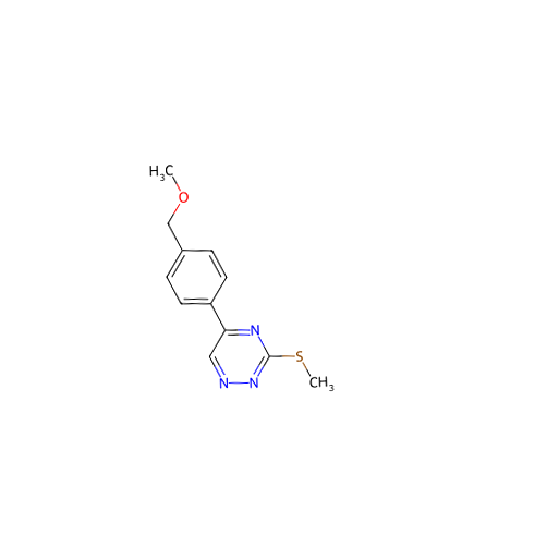 COCc1ccc(-c2cnnc(SC)n2)cc1